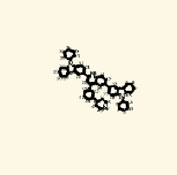 c1ccc(-n2c3ccccc3c3cc(-c4ccc5nc(-c6ccc7c(c6)c6ccccc6n7-c6ccccc6)cc(-c6cccc(-c7ccncc7)c6)c5c4)ccc32)cc1